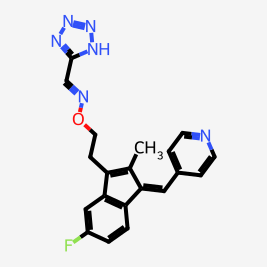 CC1=C(CCON=Cc2nnn[nH]2)c2cc(F)ccc2C1=Cc1ccncc1